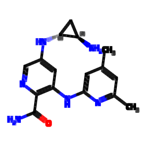 Cc1cc(C)nc(Nc2cc(N[C@@H]3C[C@H]3N)cnc2C(N)=O)c1